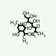 CC(=O)C(=O)C(O)C(O)C(O)C(O)CO.CC1CCC(C(C)C)C(O)C1